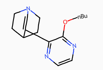 CCCCOc1nccnc1C1=CN2CCC1CC2